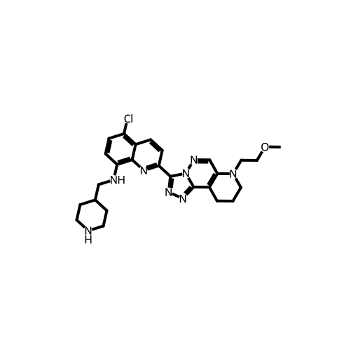 COCCN1CCCc2c1cnn1c(-c3ccc4c(Cl)ccc(NCC5CCNCC5)c4n3)nnc21